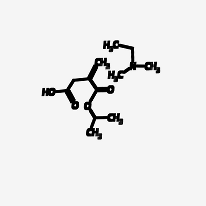 C=C(CC(=O)O)C(=O)OC(C)C.CCN(C)C